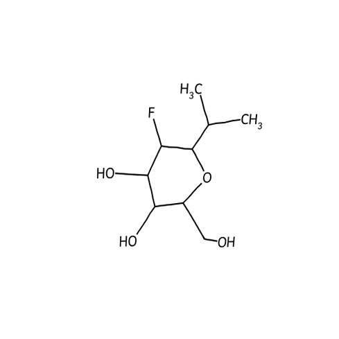 CC(C)C1OC(CO)C(O)C(O)C1F